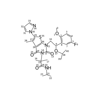 COc1ccc(F)cc1C(Cn1c(=O)n(C(C)(C)C(=O)NC(C)C)c(=O)c2c(C)c(-n3cccn3)sc21)OC(C)C